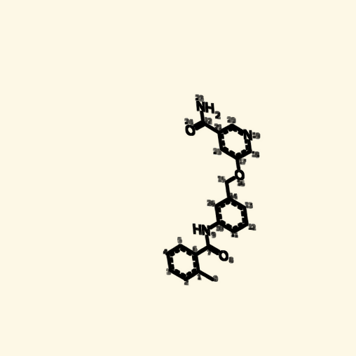 Cc1ccccc1C(=O)Nc1cccc(COc2cncc(C(N)=O)c2)c1